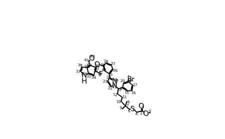 COC(=O)CSCC(C)(C)CCCC(c1cccc(Br)c1)n1ccc(-c2cccc(Oc3c(F)cc4[nH]ccc4c3C=O)c2)n1